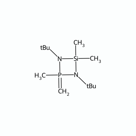 C=P1(C)N(C(C)(C)C)[Si](C)(C)N1C(C)(C)C